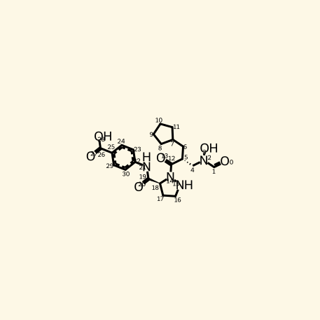 O=CN(O)C[C@@H](CC1CCCC1)C(=O)N1NCC[C@H]1C(=O)Nc1ccc(C(=O)O)cc1